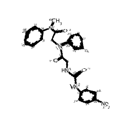 CN(C(=O)CN(C(=O)CNC(=O)Nc1ccc([N+](=O)[O-])cc1)c1ccccc1)c1ccccc1